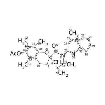 C=CC(C)N(C(=O)C1(C)CCc2c(C)c(OC(C)=O)c(C)c(C)c2O1)c1cc(C)c2ccccc2n1